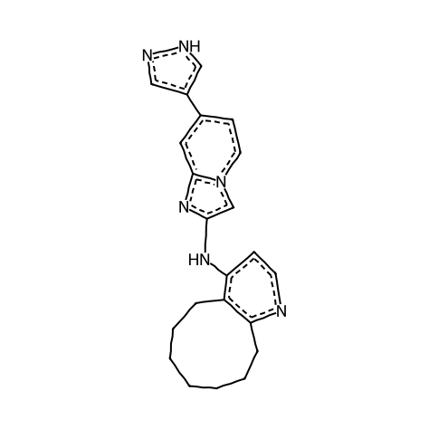 c1cc(Nc2cn3ccc(-c4cn[nH]c4)cc3n2)c2c(n1)CCCCCCC2